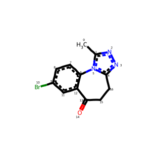 Cc1nnc2n1-c1ccc(Br)cc1C(=O)CC2